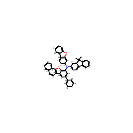 CC1(C)c2ccccc2-c2ccc(N(c3ccc4c(c3)oc3ccccc34)c3cc(-c4ccccc4)cc4c3oc3c5ccccc5ccc43)cc21